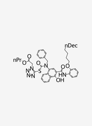 CCCCCCCCCCCCCCOc1ccccc1NC(=O)c1cc(N(Cc2ccccc2)C(=O)Sc2nnnn2CC(=O)OCCC)c2ccccc2c1O